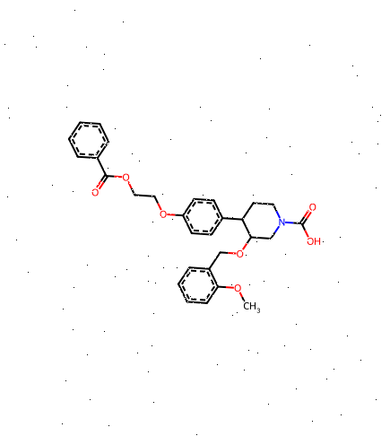 COc1ccccc1COC1CN(C(=O)O)CCC1c1ccc(OCCOC(=O)c2ccccc2)cc1